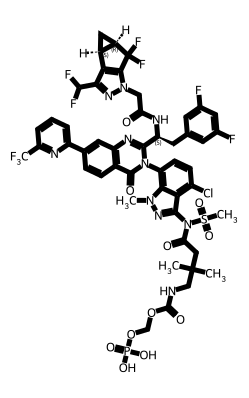 Cn1nc(N(C(=O)CC(C)(C)CNC(=O)OCOP(=O)(O)O)S(C)(=O)=O)c2c(Cl)ccc(-n3c([C@H](Cc4cc(F)cc(F)c4)NC(=O)Cn4nc(C(F)F)c5c4C(F)(F)[C@@H]4C[C@H]54)nc4cc(-c5cccc(C(F)(F)F)n5)ccc4c3=O)c21